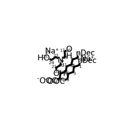 CCCCCCCCCCCCCCCC(=O)[O-].CCCCCCCCCCCCCCCCCC(=O)[O-].OCCN(CCO)CCO.[Na+].[Na+]